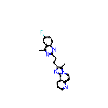 Cc1nc(CCc2nc3c4cccnc4ccn3c2C)nc2ccc(F)cc12